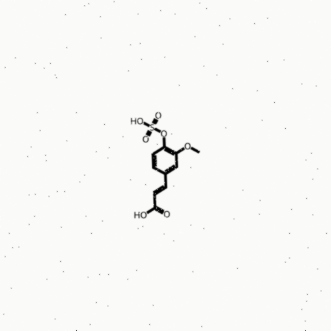 COc1cc(/C=C/C(=O)O)ccc1OS(=O)(=O)O